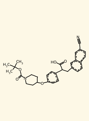 CC(C)(C)OC(=O)N1CCC(Oc2ccc(C(Cc3ccc4ccc(C#N)cc4c3)C(=O)O)cc2)CC1